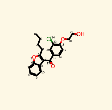 CCCCc1oc2ccccc2c1C(=O)c1ccc(OCCO)c(Cl)c1